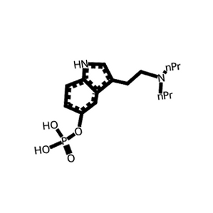 CCCN(CCC)CCc1c[nH]c2ccc(OP(=O)(O)O)cc12